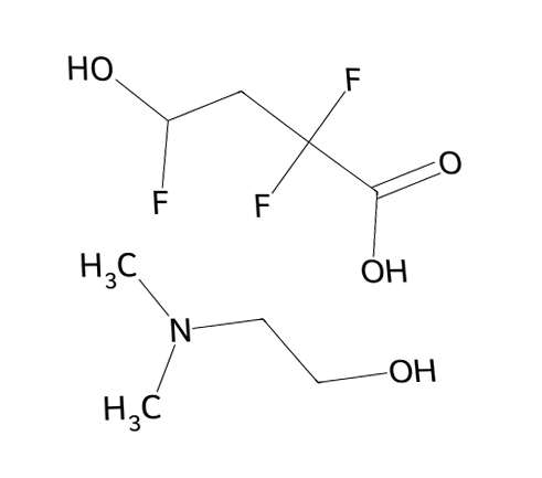 CN(C)CCO.O=C(O)C(F)(F)CC(O)F